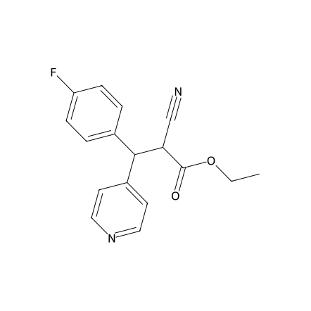 CCOC(=O)C(C#N)C(c1ccncc1)c1ccc(F)cc1